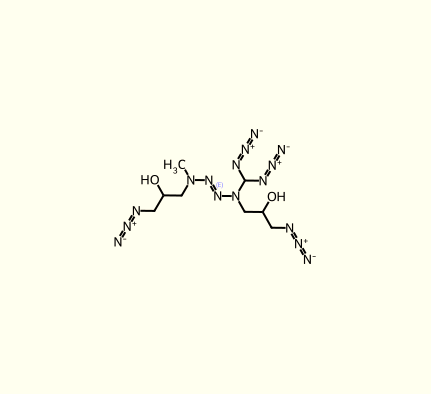 CN(CC(O)CN=[N+]=[N-])/N=N/N(CC(O)CN=[N+]=[N-])C(N=[N+]=[N-])N=[N+]=[N-]